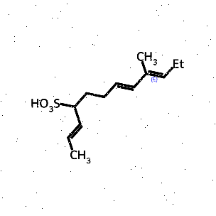 CC=CC(CCC=C/C(C)=C/CC)S(=O)(=O)O